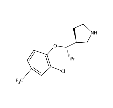 CC(C)[C@H](Oc1ccc(C(F)(F)F)cc1Cl)[C@H]1CCNC1